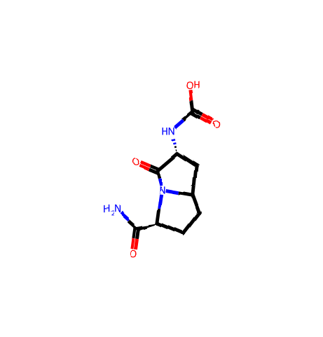 NC(=O)[C@@H]1CCC2C[C@@H](NC(=O)O)C(=O)N21